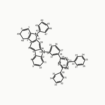 C1=Cc2c(c3cc4c5ccccc5n(-c5cccc(-c6nc(-c7ccccc7)nc(-c7ccccc7)n6)c5)c4cc3n2-c2ccccc2)CC1